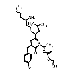 CCOC(=O)OC(C)OC(=O)C(CC(=O)C(CC(C)C)SSCC(N)CCSC)Cc1ccc(Br)cc1